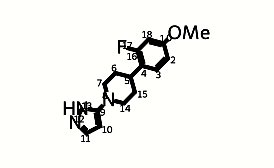 COc1ccc(C2CCN(c3ccn[nH]3)CC2)c(F)c1